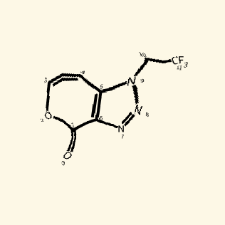 O=c1occc2c1nnn2CC(F)(F)F